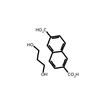 O=C(O)c1ccc2cc(C(=O)O)ccc2c1.OCCCO